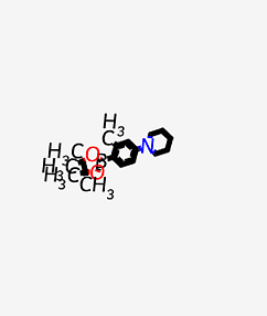 Cc1cc(N2CCCCC2)ccc1B1OC(C)(C)C(C)(C)O1